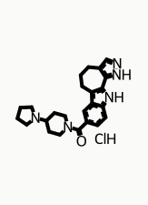 Cl.O=C(c1ccc2[nH]c3c(c2c1)CCCc1cn[nH]c1-3)N1CCC(N2CCCC2)CC1